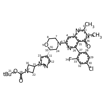 Cc1nc2cc(N3CCO[C@@H](c4cnn(C5CN(C(=O)OC(C)(C)C)C5)c4)C3)nc(-c3ccc(Cl)cc3F)c2c(=O)n1C